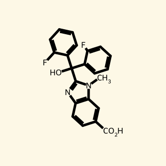 Cn1c(C(O)(c2ccccc2F)c2ccccc2F)nc2ccc(C(=O)O)cc21